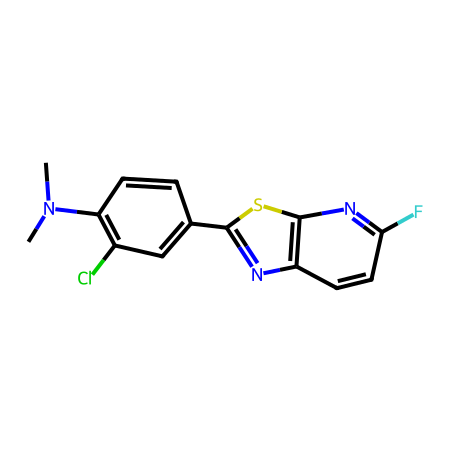 CN(C)c1ccc(-c2nc3ccc(F)nc3s2)cc1Cl